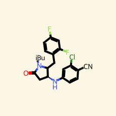 CCC(C)N1C(=O)C[C@H](Nc2ccc(C#N)c(Cl)c2)C1Cc1ccc(F)cc1F